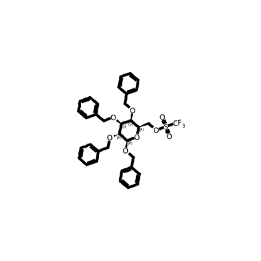 O=S(=O)(OC[C@H]1O[C@@H](OCc2ccccc2)[C@H](OCc2ccccc2)[C@@H](OCc2ccccc2)[C@H]1OCc1ccccc1)C(F)(F)F